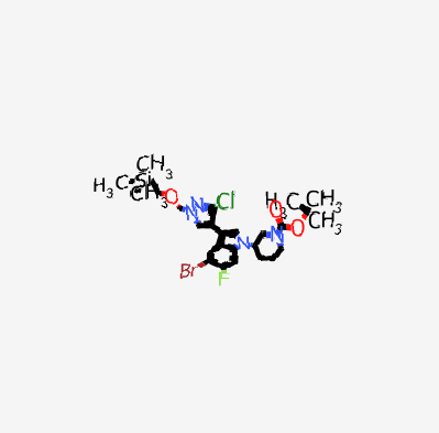 CC(C)(C)OC(=O)N1CCCC(n2cc(-c3cn(COCC[Si](C)(C)C)nc3Cl)c3cc(Br)c(F)cc32)C1